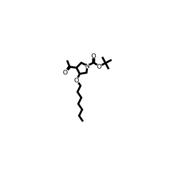 CCCCCCCOC1CN(C(=O)OC(C)(C)C)CC1C(C)=O